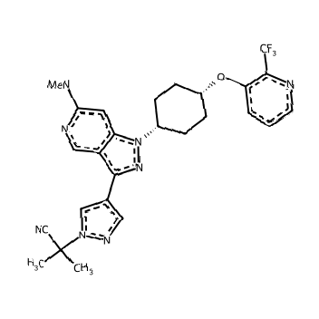 CNc1cc2c(cn1)c(-c1cnn(C(C)(C)C#N)c1)nn2[C@H]1CC[C@@H](Oc2cccnc2C(F)(F)F)CC1